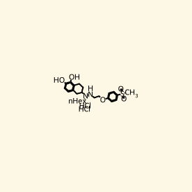 CCCCCCN(NCCOc1ccc(S(C)(=O)=O)cc1)C1CCc2c(ccc(O)c2O)C1.Cl.Cl